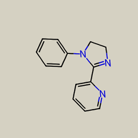 c1ccc(N2CCN=C2c2ccccn2)cc1